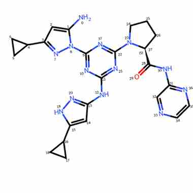 Nc1cc(C2CC2)nn1-c1nc(Nc2cc(C3CC3)[nH]n2)nc(N2CCC[C@H]2C(=O)Nc2cnccn2)n1